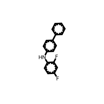 Fc1ccc(Nc2ccc(-c3ccccc3)cc2)c(F)c1